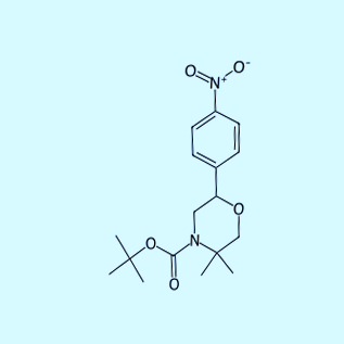 CC(C)(C)OC(=O)N1CC(c2ccc([N+](=O)[O-])cc2)OCC1(C)C